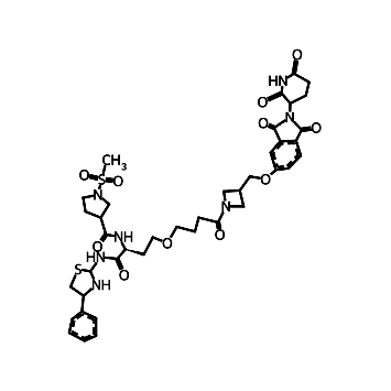 CS(=O)(=O)N1CCC(C(=O)N[C@@H](CCOCCCC(=O)N2CC(COc3ccc4c(c3)C(=O)N(C3CCC(=O)NC3=O)C4=O)C2)C(=O)NC2NC(c3ccccc3)CS2)C1